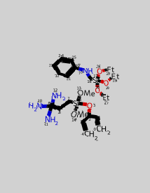 C=CC(C=C)O[Si](CCC(N)(N)N)(OC)OC.CCO[Si](CNc1ccccc1)(OCC)OCC